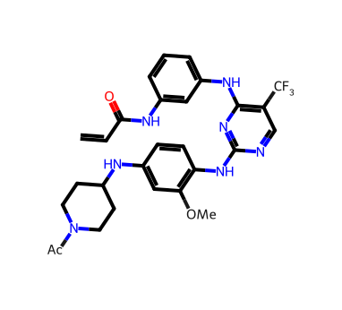 C=CC(=O)Nc1cccc(Nc2nc(Nc3ccc(NC4CCN(C(C)=O)CC4)cc3OC)ncc2C(F)(F)F)c1